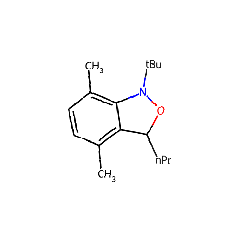 CCCC1ON(C(C)(C)C)c2c(C)ccc(C)c21